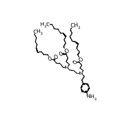 CCCCC/C=C\CCCOC(=O)CCCN(CCCC(=O)OCCC/C=C\CCCCC)CCCN(CCCC(=O)OCCC/C=C\CCCCC)CCc1ccc(N)cc1